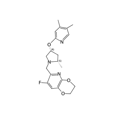 Cc1cnc(O[C@@H]2C[C@H](C)N(Cc3nc4c(cc3F)OCCO4)C2)cc1C